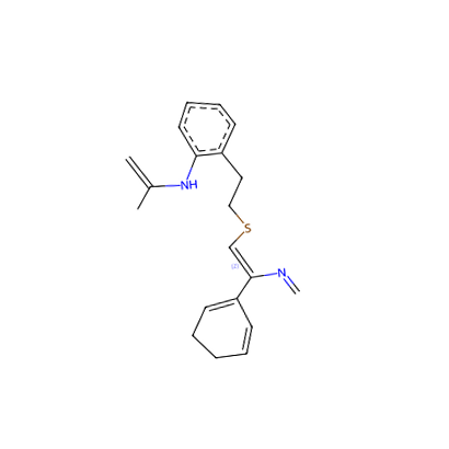 C=N/C(=C\SCCc1ccccc1NC(=C)C)C1=CCCC=C1